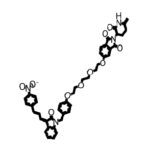 C=C1CCC(N2C(=O)c3ccc(OCCOCCOCCOc4ccc(CN5C(=O)/C(=C\C=C\c6ccc([N+](=O)[O-])cc6)c6ccccc65)cc4)cc3C2=O)C(=O)N1